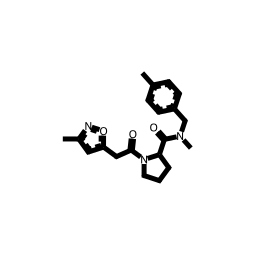 Cc1ccc(CN(C)C(=O)C2CCCN2C(=O)Cc2cc(C)no2)cc1